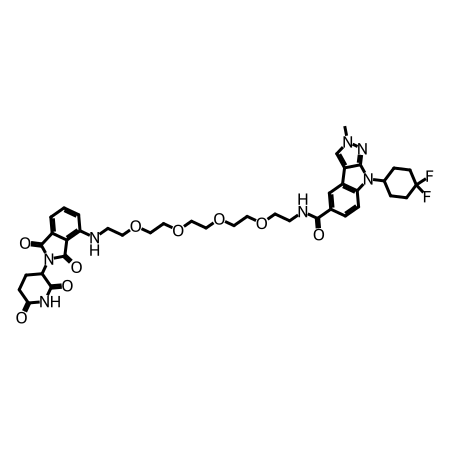 Cn1cc2c3cc(C(=O)NCCOCCOCCOCCOCCNc4cccc5c4C(=O)N(C4CCC(=O)NC4=O)C5=O)ccc3n(C3CCC(F)(F)CC3)c2n1